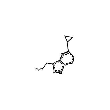 NCc1ncn2ccc(C3CC3)cc12